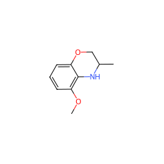 COc1cccc2c1NC(C)CO2